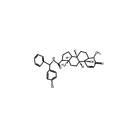 CN1C(=O)C=C[C@@]2(C)C1CC[C@@H]1[C@H]2CC[C@]2(C)C(C(=O)NC(c3ccccc3)c3ccc(Cl)cc3)CC[C@@H]12